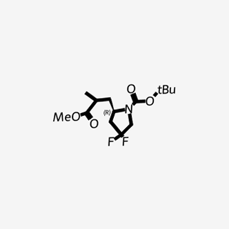 COC(=O)C(C)C[C@@H]1CC(F)(F)CN1C(=O)OC(C)(C)C